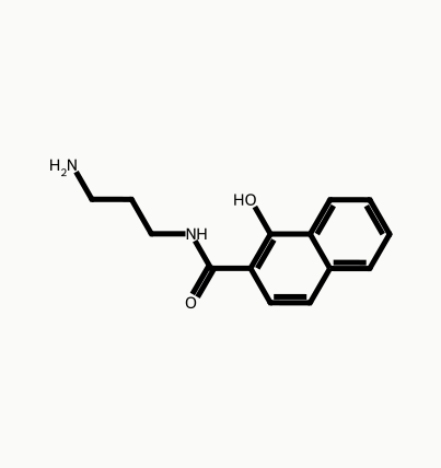 NCCCNC(=O)c1ccc2ccccc2c1O